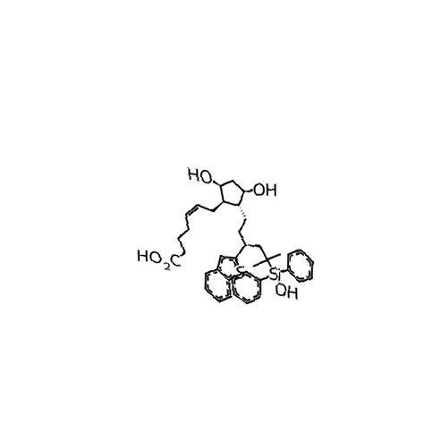 CC(C)(C[C@H](CC[C@@H]1[C@@H](C/C=C\CCCC(=O)O)[C@@H](O)C[C@H]1O)c1cc2ccccc2s1)[Si](O)(c1ccccc1)c1ccccc1